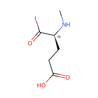 CN[C@@H](CCC(=O)O)C(=O)I